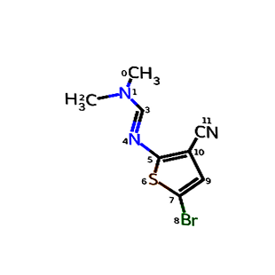 CN(C)C=Nc1sc(Br)cc1C#N